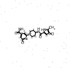 Cc1[nH]c(C(=O)NC2CCN(c3cc(C(N)=O)cc(Cl)n3)CC2)cc1Cl